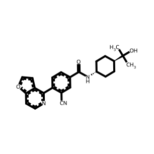 CC(C)(O)[C@H]1CC[C@H](NC(=O)c2ccc(-c3nccc4occc34)c(C#N)c2)CC1